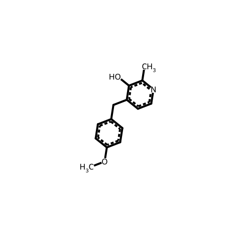 COc1ccc(Cc2ccnc(C)c2O)cc1